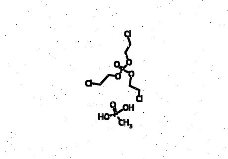 CP(=O)(O)O.O=P(OCCCl)(OCCCl)OCCCl